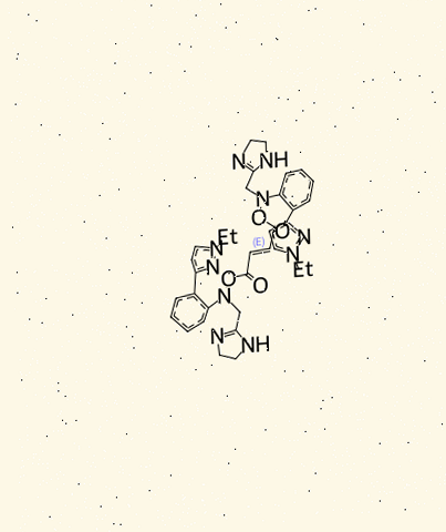 CCn1ccc(-c2ccccc2N(CC2=NCCN2)OC(=O)/C=C/C(=O)ON(CC2=NCCN2)c2ccccc2-c2ccn(CC)n2)n1